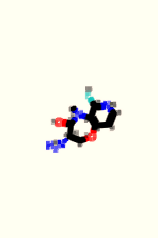 CN1C(=O)[C@@H](N)COc2ccnc(F)c21